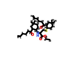 C=CCCCC(=O)C1CC(C)(C)CCC1NC(CSC1CCC(C)(C)CC1C(=O)CCCC=C)C(=O)OCC